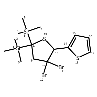 C[Si](C)(C)C1([Si](C)(C)C)CC(Br)(Br)C(c2cccs2)S1